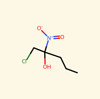 CCCC(O)(CCl)[N+](=O)[O-]